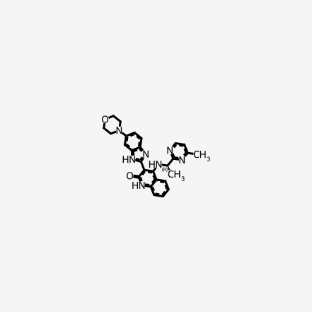 Cc1ccnc([C@@H](C)Nc2c(-c3nc4ccc(N5CCOCC5)cc4[nH]3)c(=O)[nH]c3ccccc23)n1